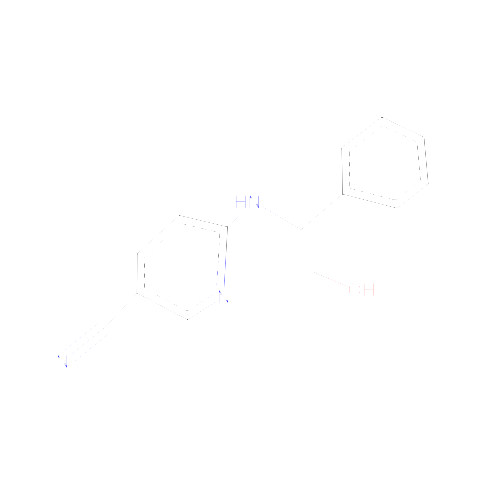 N#Cc1ccc(N[C@@H](CO)c2ccccc2)nc1